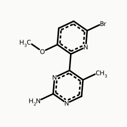 COc1ccc(Br)nc1-c1nc(N)ncc1C